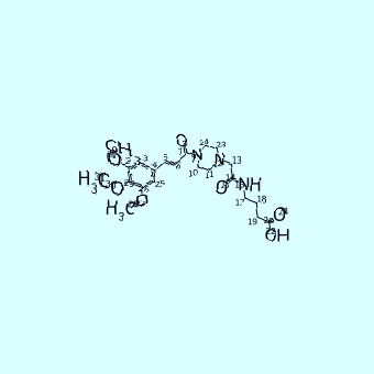 COc1cc(/C=C/C(=O)N2CCN(CC(=O)NCCCC(=O)O)CC2)cc(OC)c1OC